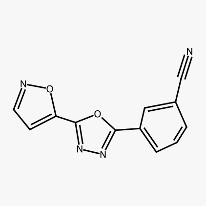 N#Cc1cccc(-c2nnc(-c3ccno3)o2)c1